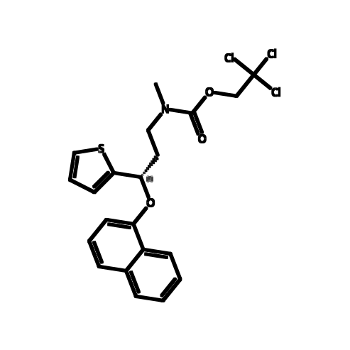 CN(CC[C@H](Oc1cccc2ccccc12)c1cccs1)C(=O)OCC(Cl)(Cl)Cl